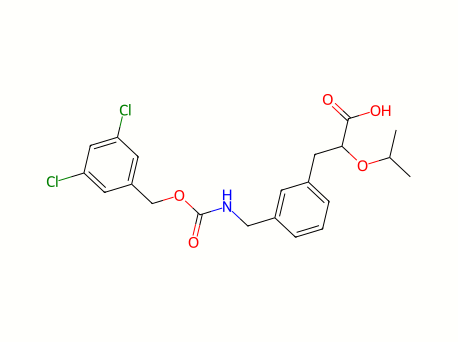 CC(C)OC(Cc1cccc(CNC(=O)OCc2cc(Cl)cc(Cl)c2)c1)C(=O)O